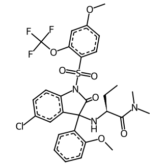 CC[C@H](NC1(c2ccccc2OC)C(=O)N(S(=O)(=O)c2ccc(OC)cc2OC(F)(F)F)c2ccc(Cl)cc21)C(=O)N(C)C